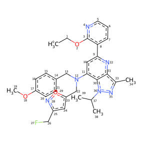 CCOc1ncccc1-c1cc(N(Cc2ccc(OC)cc2)Cc2cc(CF)no2)c2c(n1)c(C)nn2C(C)C